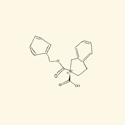 O=C(O)[N@+]1(C(=O)OCc2ccccc2)CCc2ccccc2C1